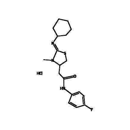 CN1/C(=N/C2CCCCC2)SCC1CC(=O)Nc1ccc(F)cc1.Cl